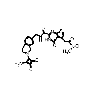 CN(C)C(=O)Cc1csc2nc(C(=O)NCc3ccc4c(c3)CN(c3c(N)c(=O)c3=O)CC4)[nH]c(=O)c12